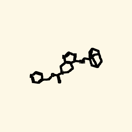 O=C(OCc1ccncc1)N1CCc2c(ncnc2NCC23CC4CC(CC(C4)C2)C3)C1